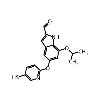 CC(C)Oc1cc(Oc2ccc(S)cn2)cc2cc(C=O)[nH]c12